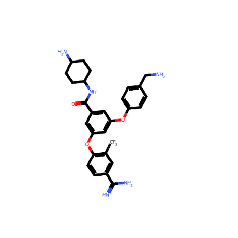 N=C(N)c1ccc(Oc2cc(Oc3ccc(CN)cc3)cc(C(=O)NC3CCC(N)CC3)c2)c(C(F)(F)F)c1